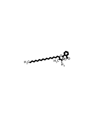 CCCCCCCCCCCCCCCCCC(OC(=O)c1ccccc1C(=O)O)C(C)CC